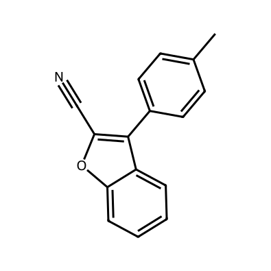 Cc1ccc(-c2c(C#N)oc3ccccc23)cc1